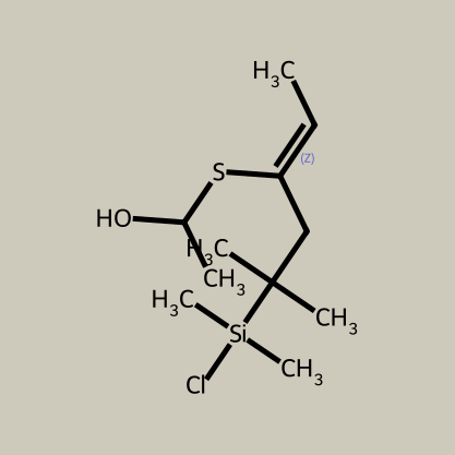 C/C=C(/CC(C)(C)[Si](C)(C)Cl)SC(C)O